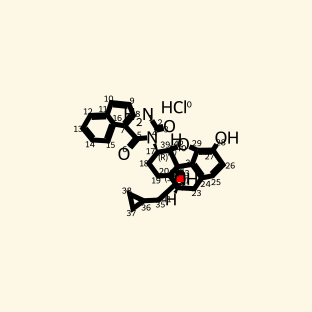 Cl.NC(=O)N(C(=O)c1cccc2ccccc12)[C@@H]1CC[C@@]2(O)[C@H]3Cc4ccc(O)c5c4[C@@]2(CCN3CC2CC2)[C@H]1O5